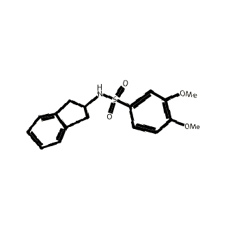 COc1ccc(S(=O)(=O)NC2Cc3ccccc3C2)cc1OC